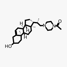 CC(=O)N1CCN(C[C@@H](C)[C@H]2CC[C@H]3[C@@H]4CC=C5CC(O)CC[C@]5(C)[C@H]4CC[C@]23C)CC1